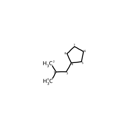 CC(C)CC1C[CH]CC1